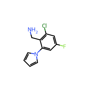 NCc1c(Cl)cc(F)cc1-n1cccc1